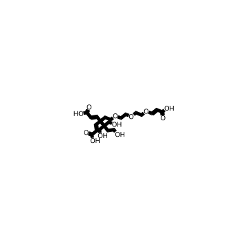 O=C(O)C=COCCOCCOCCC(C=CC(=O)O)(C=CC(=O)O)C(CO)(CO)CCO